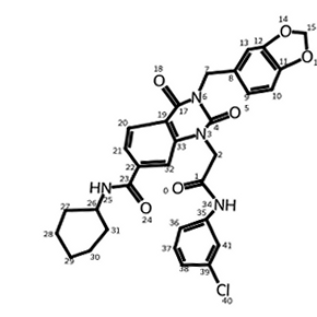 O=C(Cn1c(=O)n(Cc2ccc3c(c2)OCO3)c(=O)c2ccc(C(=O)NC3CCCCC3)cc21)Nc1cccc(Cl)c1